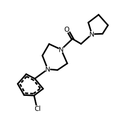 O=C(CN1CCCC1)N1CCN(c2cccc(Cl)c2)CC1